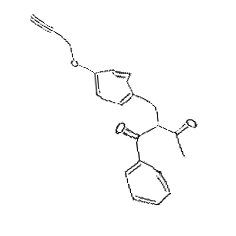 C#CCOc1ccc(CC(C(C)=O)C(=O)c2ccccc2)cc1